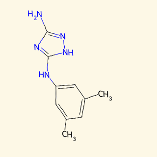 Cc1cc(C)cc(Nc2nc(N)n[nH]2)c1